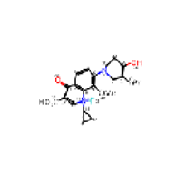 CCCC1CN(c2ccc3c(c2OC)[N+](F)(C2CC2)C=C(C(=O)O)C3=O)CCC1O